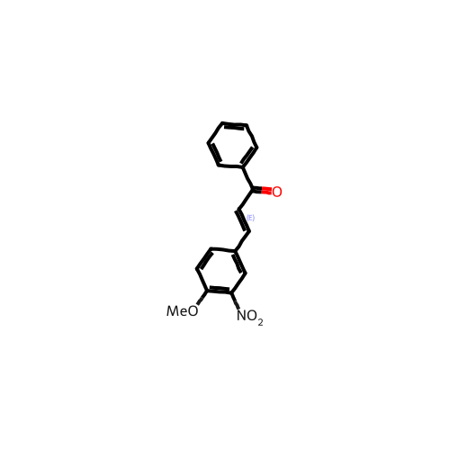 COc1ccc(/C=C/C(=O)c2ccccc2)cc1[N+](=O)[O-]